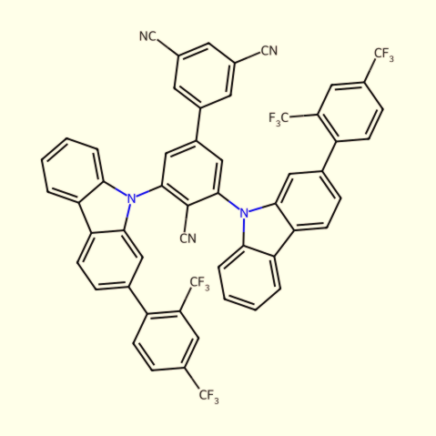 N#Cc1cc(C#N)cc(-c2cc(-n3c4ccccc4c4ccc(-c5ccc(C(F)(F)F)cc5C(F)(F)F)cc43)c(C#N)c(-n3c4ccccc4c4ccc(-c5ccc(C(F)(F)F)cc5C(F)(F)F)cc43)c2)c1